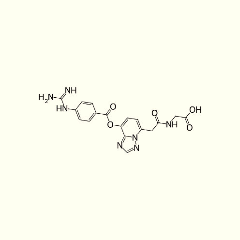 N=C(N)Nc1ccc(C(=O)Oc2ccc(CC(=O)NCC(=O)O)n3ncnc23)cc1